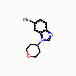 CC(C)(C)c1ccc2ncn(C3CCOCC3)c2c1